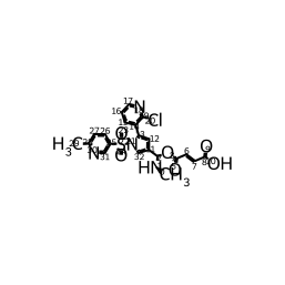 CNC(OC(=O)/C=C/C(=O)O)c1cc(-c2cccnc2Cl)n(S(=O)(=O)c2ccc(C)nc2)c1